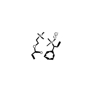 C=CC(=O)OCC[N+](C)(C)C.C=CC(c1ccccc1)[N+](C)(C)C.[Cl-].[Cl-]